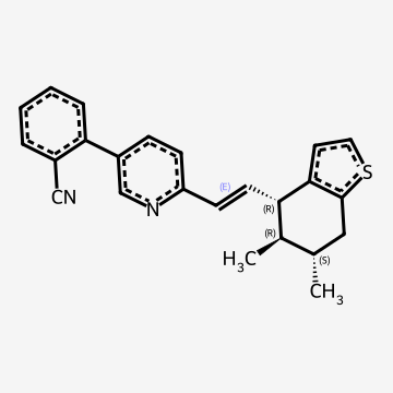 C[C@H]1[C@H](/C=C/c2ccc(-c3ccccc3C#N)cn2)c2ccsc2C[C@@H]1C